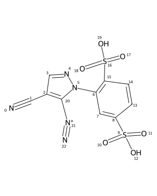 N#Cc1cnn(-c2cc(S(=O)(=O)O)ccc2S(=O)(=O)O)c1[N+]#N